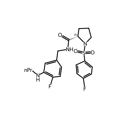 CCCNc1cc(CNC(=O)[C@@H]2CCCN2S(=O)(=O)c2ccc(F)cc2)ccc1F